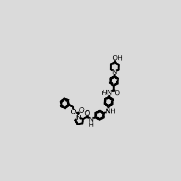 O=C(Nc1ccc(Nc2ccc(NC(=O)C3CCCN3C(=O)OCc3ccccc3)cc2)cc1)c1ccc(N2CCC(O)CC2)cc1